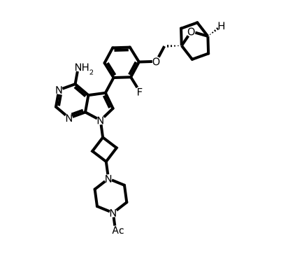 CC(=O)N1CCN(C2CC(n3cc(-c4cccc(OC[C@]56CC[C@H](CC5)O6)c4F)c4c(N)ncnc43)C2)CC1